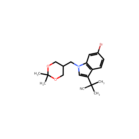 CC1(C)OCC(Cn2cc(C(C)(C)C#N)c3ccc(Br)cc32)CO1